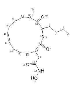 CCCCC1NC(=O)C(CC(=O)NO)CCCC=CCCCN(C)C1=O